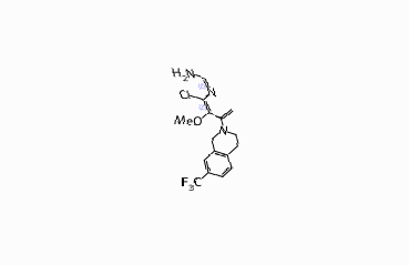 C=C(/C(OC)=C(Cl)\N=C/N)N1CCc2ccc(C(F)(F)F)cc2C1